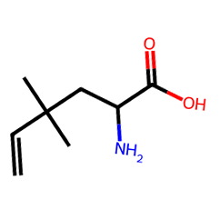 C=CC(C)(C)CC(N)C(=O)O